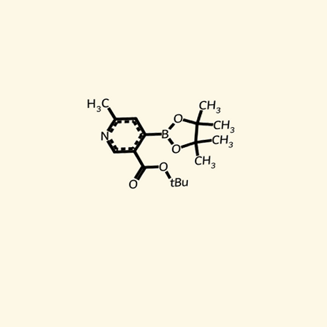 Cc1cc(B2OC(C)(C)C(C)(C)O2)c(C(=O)OC(C)(C)C)cn1